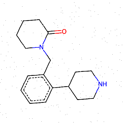 O=C1C[CH]CCN1Cc1ccccc1C1CCNCC1